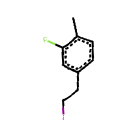 Cc1ccc(CCI)cc1F